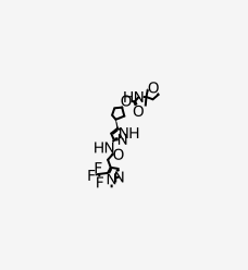 Cn1ncc(CC(=O)Nc2cc([C@H]3CC[C@@H](OC(=O)NC4(C)CCOC4)C3)[nH]n2)c1C(F)(F)F